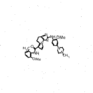 COc1cc(N2CCN(C)CC2)ccc1Nc1ncc2c(n1)-n1ccc(C(=O)Nc3c(C)cccc3OC)c1CC2